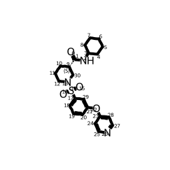 O=C(NC1CCCCC1)[C@H]1CCCN(S(=O)(=O)c2cccc(Oc3ccncc3)c2)C1